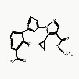 COC(=O)c1cnn(-c2cccc(-c3cccc(C(=O)O)c3F)c2)c1C1CC1